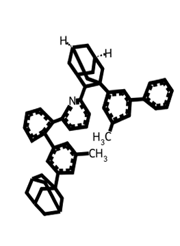 Cc1cc(-c2ccccc2-c2cccc(C3C4C[C@H]5C[C@H](C4)CC3(c3cc(C)cc(-c4ccccc4)c3)C5)n2)cc(C23CC4CC(CC(C4)C2)C3)c1